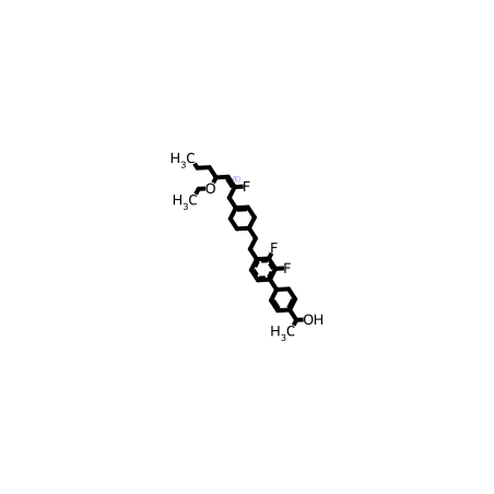 CCCC(/C=C(/F)CC1=CCC(CCc2ccc(C3C=CC(C(C)O)=CC3)c(F)c2F)CC1)OCC